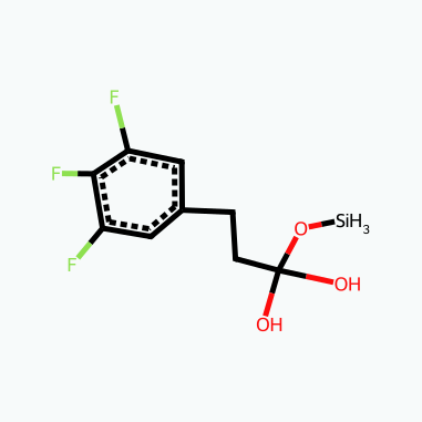 OC(O)(CCc1cc(F)c(F)c(F)c1)O[SiH3]